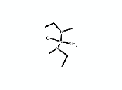 CCN(C)[Si]([SiH3])(Cl)N(C)CC